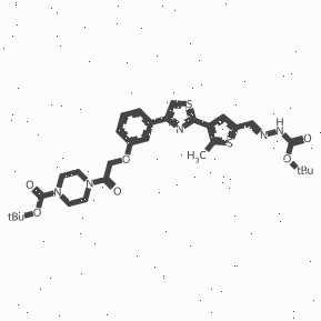 Cc1sc(C=NNC(=O)OC(C)(C)C)cc1-c1nc(-c2cccc(OCC(=O)N3CCN(C(=O)OC(C)(C)C)CC3)c2)cs1